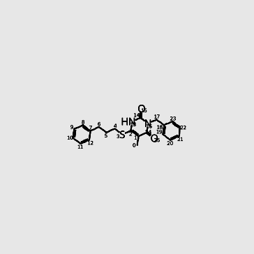 Cc1c(SCCCc2ccccc2)[nH]c(=O)n(Cc2ccccc2)c1=O